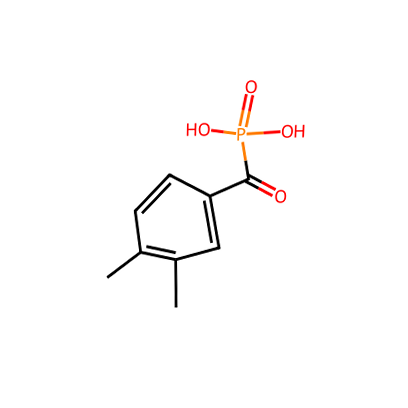 Cc1ccc(C(=O)P(=O)(O)O)cc1C